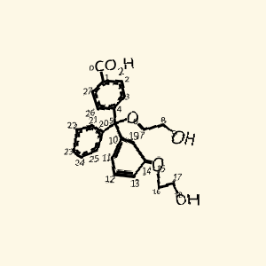 O=C(O)c1ccc(C(OCCO)(C2=CC=CC(OCCO)C2)c2ccccc2)cc1